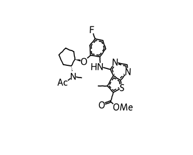 COC(=O)c1sc2ncnc(Nc3ccc(F)cc3O[C@@H]3CCCC[C@H]3N(C)C(C)=O)c2c1C